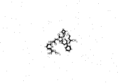 CCCC(C)C[C@]1(c2ccccc2)CC[C@]2(CC1)CN(CC(=O)Nc1cccc(C(=N)OC)n1)C(=O)N2CC1CCC1